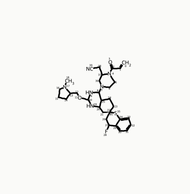 C=CC(=O)N1CCN(C2NC(OCC3CCCN3C)NC3C[C@]4(CCC32)CC(F)c2ccccc2S4)CC1CC#N